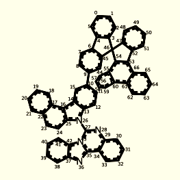 c1ccc2c(c1)-c1ccc(-c3ccc4c(c3)c3c5ccccc5ccc3n4-c3nc4ccccc4c4nc5ccccc5n34)cc1C21c2ccccc2-c2c1c1ccccc1c1ccccc21